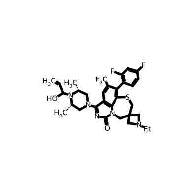 C=CC(O)N1[C@H](C)CN(c2nc(=O)n3c4c(c(-c5ccc(F)cc5F)c(C(F)(F)F)cc24)SCC2(CN(CC)C2)C3)C[C@@H]1C